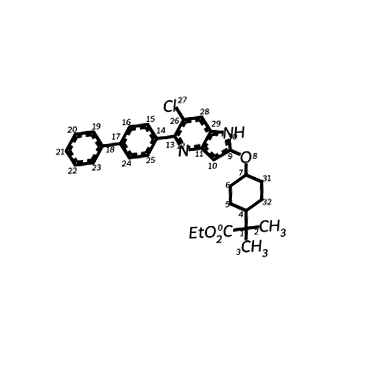 CCOC(=O)C(C)(C)C1CCC(Oc2cc3nc(-c4ccc(-c5ccccc5)cc4)c(Cl)cc3[nH]2)CC1